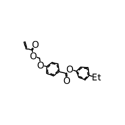 C=CC(=O)OCOc1ccc(C(=O)Oc2ccc(CC)cc2)cc1